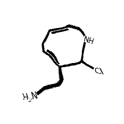 NCC1=CC=CNC1Cl